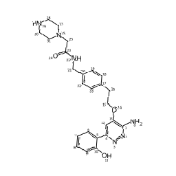 Nc1nnc(-c2ccccc2O)cc1OCCc1ccc(CNC(=O)CN2CCNCC2)cc1